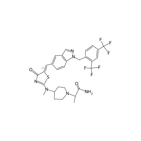 CC(C(N)=O)N1CCC(N(C)C2=NC(=O)/C(=C/c3ccc4c(cnn4Cc4ccc(C(F)(F)F)cc4C(F)(F)F)c3)S2)CC1